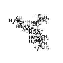 CN(C(=O)OC(C)(C)C)[C@@H]1[C@@H](O)[C@@H](O[C@@H]2[C@@H](O)C[C@@H](NC(=O)OC(C)(C)C)C[C@H]2NC(O)C2(O)CC(NC(=O)OC(C)(C)C)C2)OC[C@]1(C)O